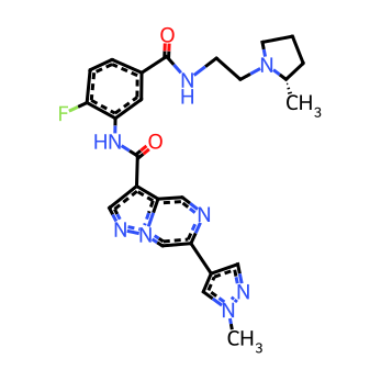 C[C@H]1CCCN1CCNC(=O)c1ccc(F)c(NC(=O)c2cnn3cc(-c4cnn(C)c4)ncc23)c1